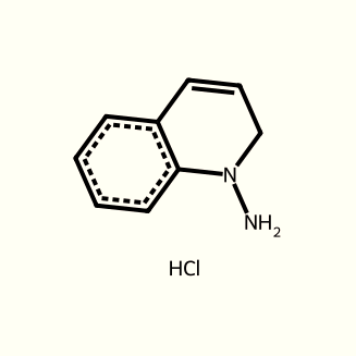 Cl.NN1CC=Cc2ccccc21